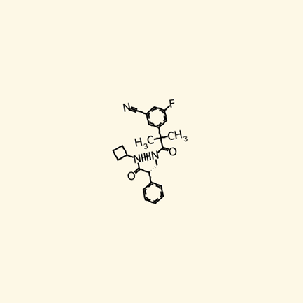 CC(C)(C(=O)NC[C@@H](C(=O)NC1CCC1)c1ccccc1)c1cc(F)cc(C#N)c1